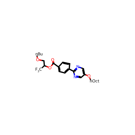 CCCCCCCCOc1cnc(-c2ccc(C(=O)OC(COCCCC)C(F)(F)F)cc2)nc1